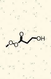 COOC(=O)CCO